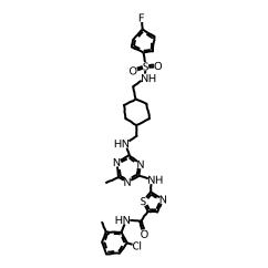 Cc1nc(NCC2CCC(CNS(=O)(=O)c3ccc(F)cc3)CC2)nc(Nc2ncc(C(=O)Nc3c(C)cccc3Cl)s2)n1